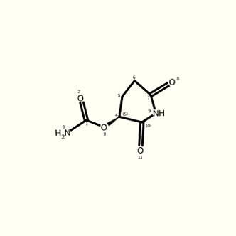 NC(=O)O[C@H]1CCC(=O)NC1=O